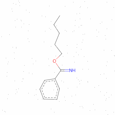 CCCCCOC(=N)c1cc[c]cc1